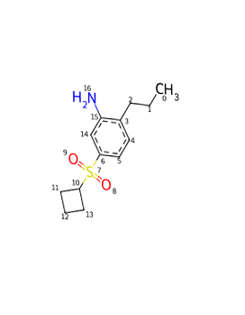 CCCc1ccc(S(=O)(=O)C2CCC2)cc1N